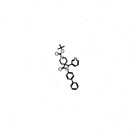 CC(C)(C)OC(=O)N1CCC2(CC1)C(=O)N(c1ccc(-c3ccccc3)cc1)C2c1cccnc1